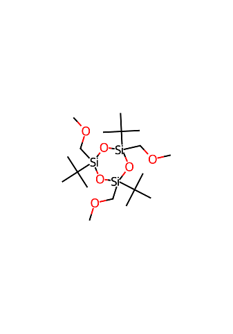 COC[Si]1(C(C)(C)C)O[Si](COC)(C(C)(C)C)O[Si](COC)(C(C)(C)C)O1